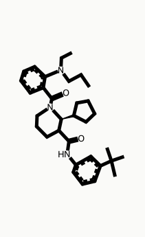 CCCN(CC)c1ccccc1C(=O)N1CCCC(C(=O)Nc2cccc(C(C)(C)C)c2)[C@@H]1C1CCCC1